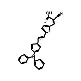 N#C/C(=C/c1ccc(/C=C/c2ccc(N(c3ccccc3)c3ccccc3)cc2)s1)C(=O)O